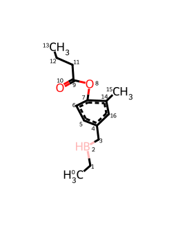 CCBCc1ccc(OC(=O)CCC)c(C)c1